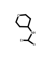 CCC(CC)NC1CCOCC1